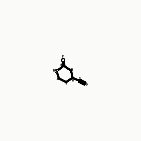 C#CC1CCSC(=O)C1